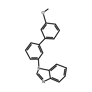 COc1cccc(-c2cccc(-n3cnc4ccccc43)c2)c1